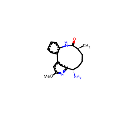 COc1cc2cc(n1)[C@@H](N)CCC[C@H](C)C(=O)Nc1ccccc1-2